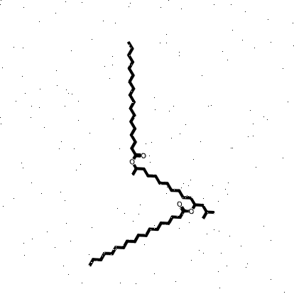 CCCCCCCCCCCCCCCCCC(=O)OC(C)CCCCCCCCCC(CC(C)C)OC(=O)CCCCCCCCCCCCCCCCC